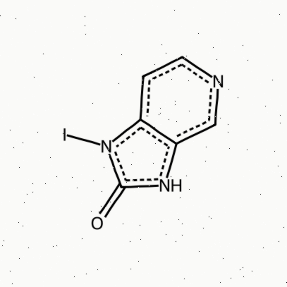 O=c1[nH]c2cnccc2n1I